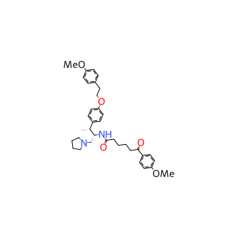 COc1ccc(CCOc2ccc([C@@H](C)[C@@H](CN3CCCC3)NC(=O)CCCCC(=O)c3ccc(OC)cc3)cc2)cc1